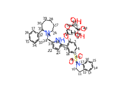 COc1ccc(S(=O)(=O)N2CCc3ccccc32)cc1-c1ccc(CN2CCCCCC2c2ccccc2)[nH]1.O=C(O)C(=O)O